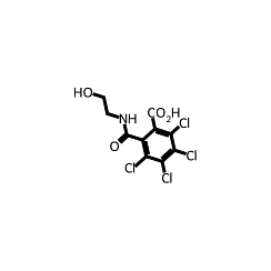 O=C(O)c1c(Cl)c(Cl)c(Cl)c(Cl)c1C(=O)NCCO